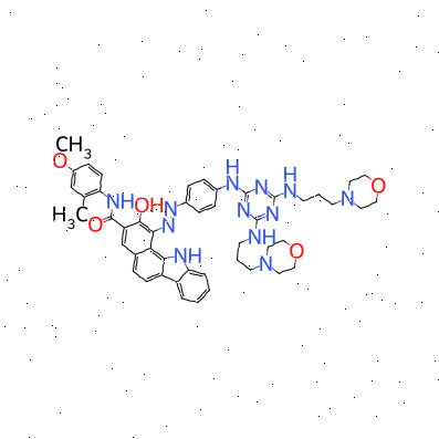 COc1ccc(NC(=O)c2cc3ccc4c5ccccc5[nH]c4c3c(N=Nc3ccc(Nc4nc(NCCCN5CCOCC5)nc(NCCCN5CCOCC5)n4)cc3)c2O)c(C)c1